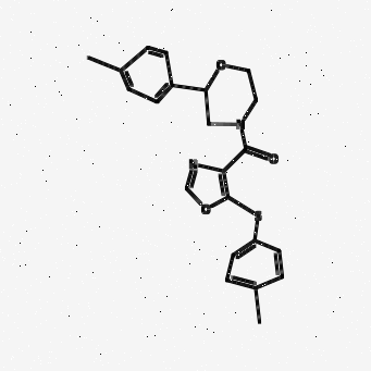 Cc1ccc(Sc2ocnc2C(=O)N2CCOC(c3ccc(C)cc3)C2)cc1